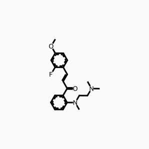 COc1ccc(C=CC(=O)c2ccccc2N(C)CCN(C)C)c(F)c1